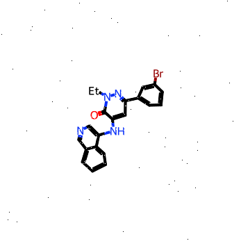 CCn1nc(-c2cccc(Br)c2)cc(Nc2cncc3ccccc23)c1=O